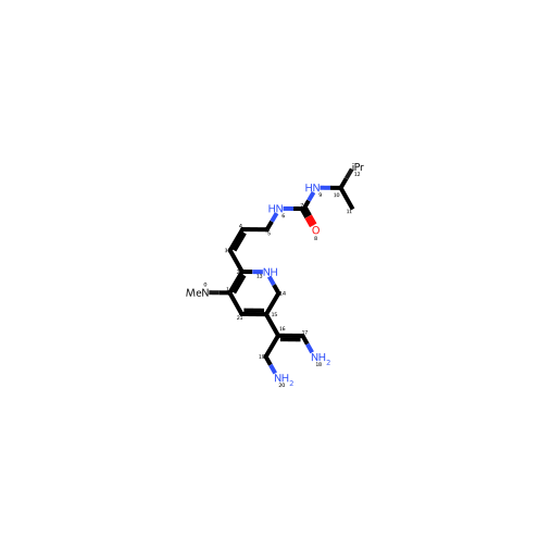 CNC1=C(/C=C\CNC(=O)NC(C)C(C)C)NCC(/C(=C/N)CN)=C1